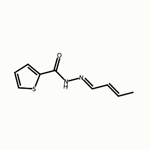 CC=CC=NNC(=O)c1cccs1